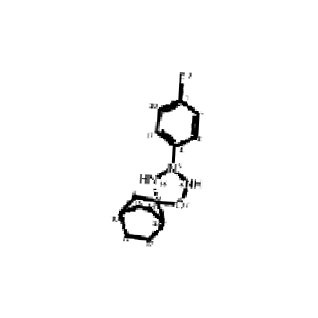 Fc1ccc(N2NO[C@@]3(CC4CCC3CC4)N2)cc1